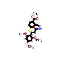 COC(=O)c1ccc(SC(Cc2ncc[nH]2)c2c(OC)cc(OC)cc2OC)cc1